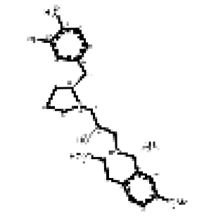 COc1ccc(CCC(=O)O)c([C@@H](C)OC[C@H](O)CN2CCC[C@H]2Cc2ccc(C)c(F)c2)c1